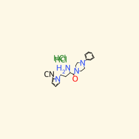 Cl.Cl.N#Cc1cccn1CCC(N)C(=O)N1CCN(c2ccccc2)CC1